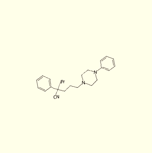 CC(C)C(C#N)(CCCN1CCN(c2ccccc2)CC1)c1ccccc1